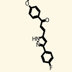 COc1ccc(C(=O)C=Cc2cc(-c3ccc(F)cc3)n[nH]2)cc1